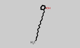 CCCCCCCCCCCCCCCCc1[c]cccc1O